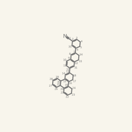 N#CC1=CCCC(C2=Cc3ccc(C4=CC5=C(CC4)C4=C(C=CCC4)C4C=CC=CC54)cc3CC2)=C1